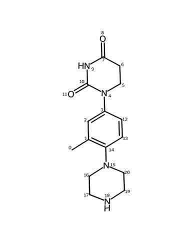 Cc1cc(N2CCC(=O)NC2=O)ccc1N1CCNCC1